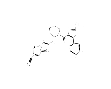 Cc1nc(C(=O)N2CCCC[C@H]2Cc2cn3cnc(C#N)cc3n2)c(-c2ccccc2)s1